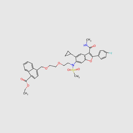 CCOC(=O)c1ccc(COCCOCCN(c2cc3oc(-c4ccc(F)cc4)c(C(=O)NC)c3cc2C2CC2)S(C)(=O)=O)c2ccccc12